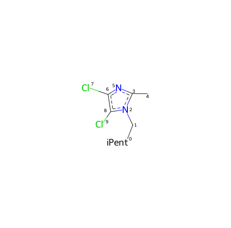 CCCC(C)Cn1c(C)nc(Cl)c1Cl